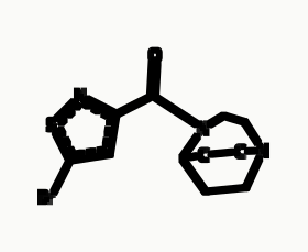 O=C(c1cc(Br)sn1)N1CCN2CCC1CC2